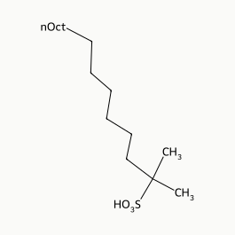 CCCCCCCCCCCCCCC(C)(C)S(=O)(=O)O